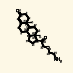 C[C@]12CCC(=O)C=C1CCC1C2=CC[C@@]2(C)C1CC[C@@H]2C(=O)COCCN